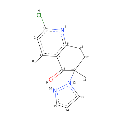 Cc1cc(Cl)nc2c1C(=O)C(C)(n1cccn1)CC2